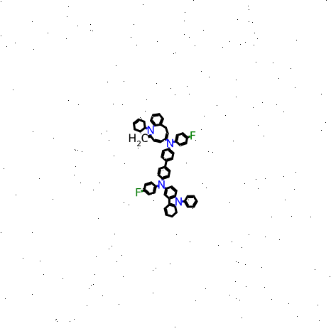 C=C1/C=C\C(N(c2ccc(F)cc2)c2ccc(-c3ccc(N(c4ccc(F)cc4)c4ccc5c(c4)c4c(n5-c5ccccc5)CCC=C4)cc3)cc2)=C/Cc2ccccc2N1C1CC=CCC1